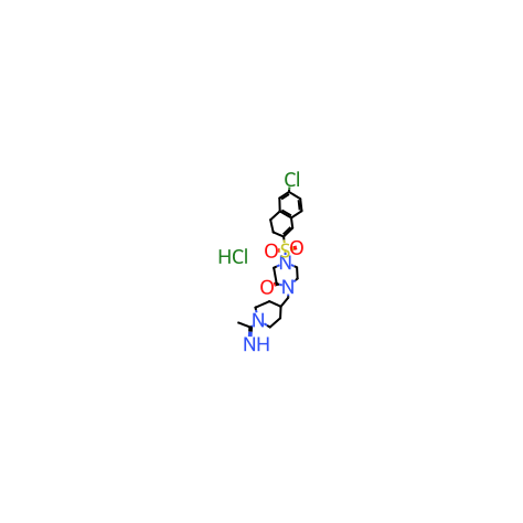 CC(=N)N1CCC(CN2CCN(S(=O)(=O)C3=Cc4ccc(Cl)cc4CC3)CC2=O)CC1.Cl